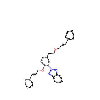 C(=C\c1ccccc1)/COCCc1ccc(OC/C=C/c2ccccc2)c(-n2nc3ccccc3n2)c1